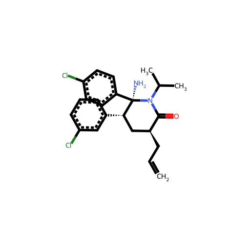 C=CC[C@H]1C[C@H](c2cccc(Cl)c2)[C@@](N)(c2ccc(Cl)cc2)N(C(C)C)C1=O